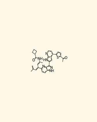 C=C(C)/C=C(\C=C(/C)NC(=O)C1CCC1)c1ccc2[nH]nc(-c3cc4c(-c5ccc(C(C)=O)s5)ccnc4[nH]3)c2n1